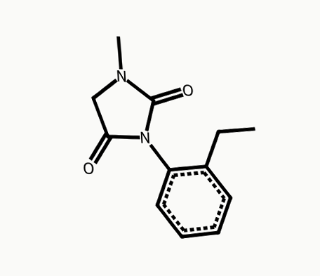 CCc1ccccc1N1C(=O)CN(C)C1=O